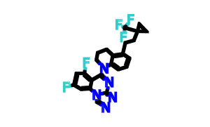 Fc1cc(F)c2c(N3CCCc4c(CCC5(C(F)(F)F)CC5)cccc43)nc3nncn3c2c1